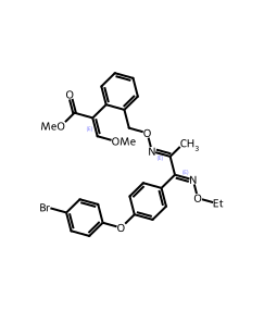 CCO/N=C(/C(C)=N/OCc1ccccc1/C(=C\OC)C(=O)OC)c1ccc(Oc2ccc(Br)cc2)cc1